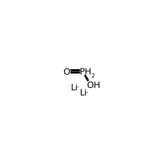 O=[PH2]O.[Li].[Li]